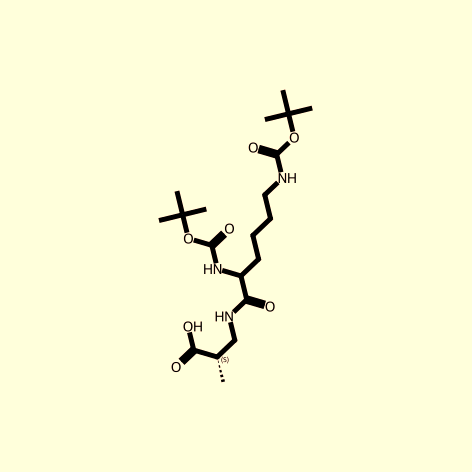 C[C@@H](CNC(=O)C(CCCCNC(=O)OC(C)(C)C)NC(=O)OC(C)(C)C)C(=O)O